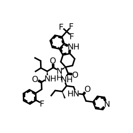 CCC(C)[C@H](NC(=O)Cc1ccccc1F)C(=O)N[C@]1(C(=O)NC(CNC(=O)Cc2ccncc2)[C@@H](C)CC)CCc2[nH]c3c(C(F)(F)F)cccc3c2C1